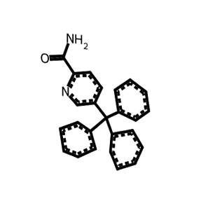 NC(=O)c1ccc(C(c2ccccc2)(c2ccccc2)c2ccccc2)cn1